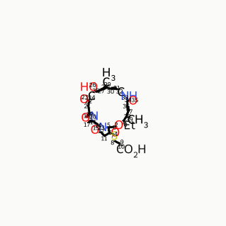 CC[C@H]1OC(=O)C2C(SCCC(=O)O)CCN2C(=O)c2coc(n2)CC(=O)C[C@H](O)/C=C(C)/C=C/CNC(=O)/C=C/[C@H]1C